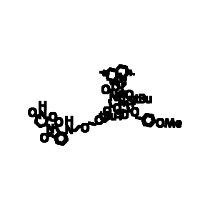 COc1ccc(COC(=O)C[C@@H](C[C@@H](CC[C@@H]2[C@@H]3C(=C[C@H](C)C[C@@H]3OC(=O)NCCOCCOCCOCCNc3cccc4c3C(=O)N(C3CCC(=O)NC3=O)C4=O)C=C[C@@H]2C)O[Si](C)(C)C(C)(C)C)O[Si](C)(C)C(C)(C)C)cc1